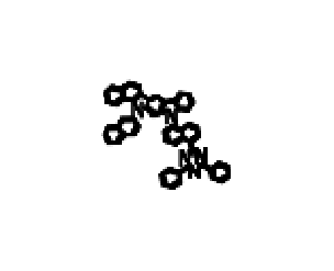 c1ccc(-c2nc(-c3ccccc3)nc(-c3cccc4c(-n5c6ccccc6c6cc7c8ccc9ccccc9c8n(-c8ccc9ccccc9c8)c7cc65)cccc34)n2)cc1